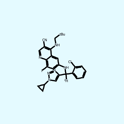 [2H]C(Nc1cc(I)c2ncc(C#N)c(NCC(C)(C)C)c2c1)(c1cn(C2CC2)nn1)c1ccccc1Cl